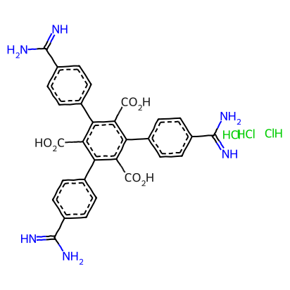 Cl.Cl.Cl.N=C(N)c1ccc(-c2c(C(=O)O)c(-c3ccc(C(=N)N)cc3)c(C(=O)O)c(-c3ccc(C(=N)N)cc3)c2C(=O)O)cc1